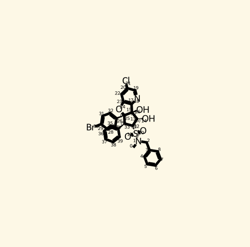 CN(Cc1ccccc1)S(=O)(=O)[C@H]1[C@@H](O)[C@@]2(O)c3ncc(Cl)cc3O[C@@]2(c2ccc(Br)cc2)[C@@H]1c1ccccc1